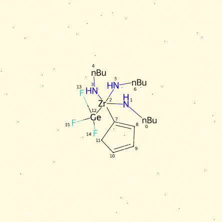 CCCC[NH][Zr]([NH]CCCC)([NH]CCCC)([C]1=CC=CC1)[Ge]([F])([F])[F]